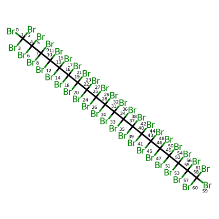 BrC(Br)(Br)C(Br)(Br)C(Br)(Br)C(Br)(Br)C(Br)(Br)C(Br)(Br)C(Br)(Br)C(Br)(Br)C(Br)(Br)C(Br)(Br)C(Br)(Br)C(Br)(Br)C(Br)(Br)C(Br)(Br)C(Br)(Br)C(Br)(Br)C(Br)(Br)C(Br)(Br)C(Br)(Br)C(Br)(Br)Br